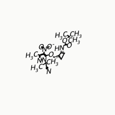 Cc1nn(C(C)(C)C#N)c(OC[C@@H]2CC[C@H]2NC(=O)OC(C)(C)C)c1[N+](=O)[O-]